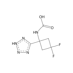 O=C(O)NC1(c2nn[nH]n2)CC(F)(F)C1